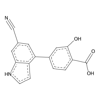 N#Cc1cc(-c2ccc(C(=O)O)c(O)c2)c2cc[nH]c2c1